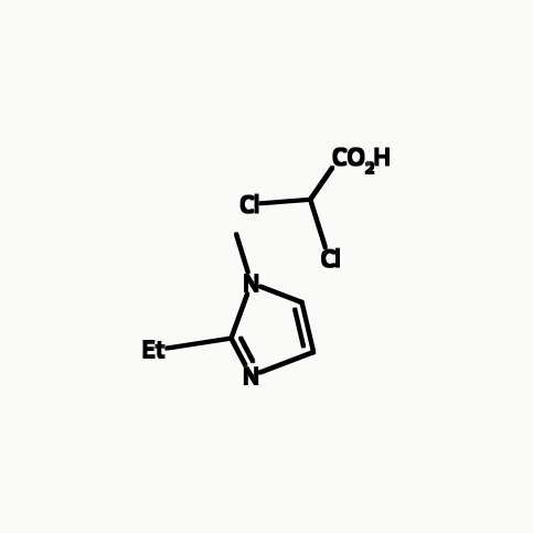 CCc1nccn1C.O=C(O)C(Cl)Cl